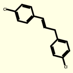 Clc1ccc(C=CCc2ccc(Cl)cc2)cc1